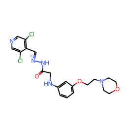 O=C(CNc1cccc(OCCN2CCOCC2)c1)N/N=C/c1c(Cl)cncc1Cl